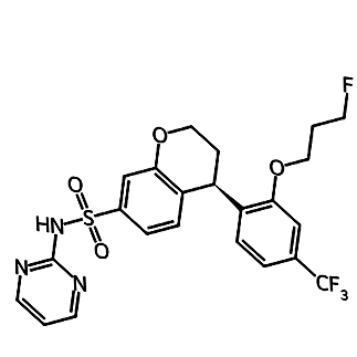 O=S(=O)(Nc1ncccn1)c1ccc2c(c1)OCC[C@H]2c1ccc(C(F)(F)F)cc1OCCCF